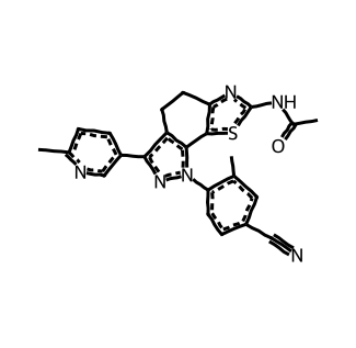 CC(=O)Nc1nc2c(s1)-c1c(c(-c3ccc(C)nc3)nn1-c1ccc(C#N)cc1C)CC2